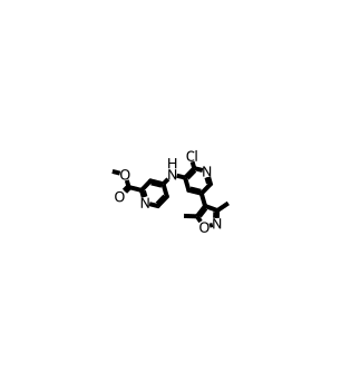 COC(=O)c1cc(Nc2cc(-c3c(C)noc3C)cnc2Cl)ccn1